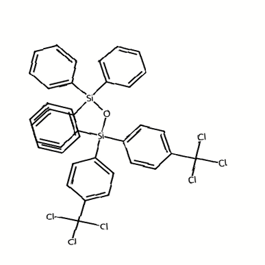 ClC(Cl)(Cl)c1ccc([Si](O[Si](c2ccccc2)(c2ccccc2)c2ccccc2)(c2ccccc2)c2ccc(C(Cl)(Cl)Cl)cc2)cc1